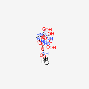 CC(C)CC(NC(=O)OCCOCCNC(=O)OC[C@@H]1[C@@H]2CCC#CCC[C@@H]21)C(=O)N1CCCC1C(=O)NC(CCC(=O)O)C(=O)NC(C(=O)NCC(=O)NCC(=O)O)C(C)O